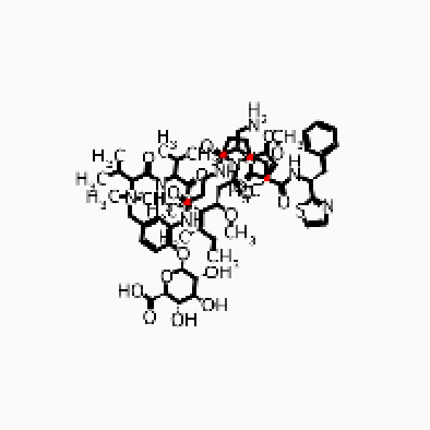 CC[C@H](C)[C@@H]([C@@H](CC(=O)N1CCCC1[C@H](OC)[C@@H](C)C(=O)N[C@@H](Cc1ccccc1)c1nccs1)OC)N(C)C(=O)C(NC(=O)C(C(C)C)[N+](C)(C)Cc1ccc(O[C@@H]2O[C@H](C(=O)O)[C@@H](O)[C@H](O)[C@H]2O)c(NC(=O)CCNC(=O)C(CN)N2C(=O)C=CC2=O)c1)C(C)C